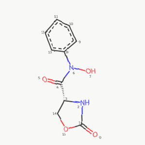 O=C1N[C@@H](C(=O)N(O)c2ccccc2)CO1